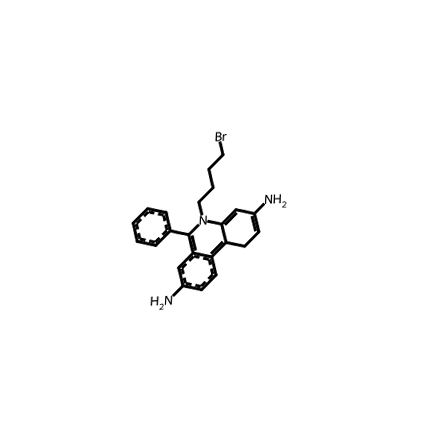 NC1=CCC2=c3ccc(N)cc3=C(c3ccccc3)N(CCCCBr)C2=C1